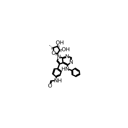 C[C@H]1O[C@@H](n2cc(-c3ccc(NC=O)cc3)c3c(Nc4ccccc4)ncnc32)[C@@H](O)[C@H]1O